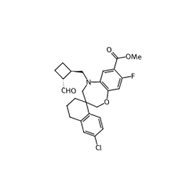 COC(=O)c1cc2c(cc1F)OCC1(CCCc3cc(Cl)ccc31)CN2C[C@@H]1CC[C@H]1C=O